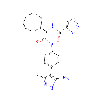 Cc1n[nH]c(N)c1-c1ccc(NC(=O)[C@@H](NC(=O)c2ccnn2C)C2CCCCCC2)cc1